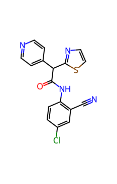 N#Cc1cc(Cl)ccc1NC(=O)C(c1ccncc1)c1nccs1